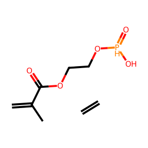 C=C.C=C(C)C(=O)OCCO[PH](=O)O